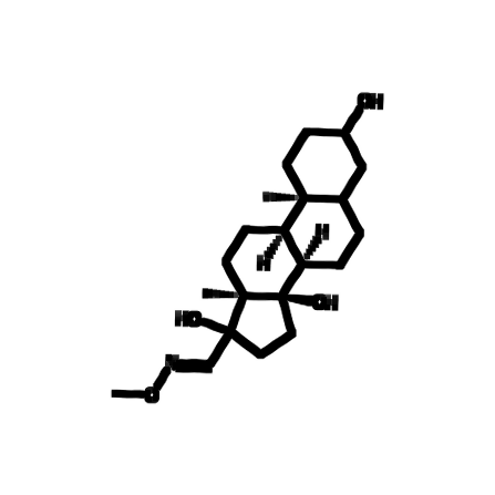 CO/N=C/C1(O)CC[C@@]2(O)[C@@H]3CCC4CC(O)CC[C@]4(C)[C@@H]3CC[C@]12C